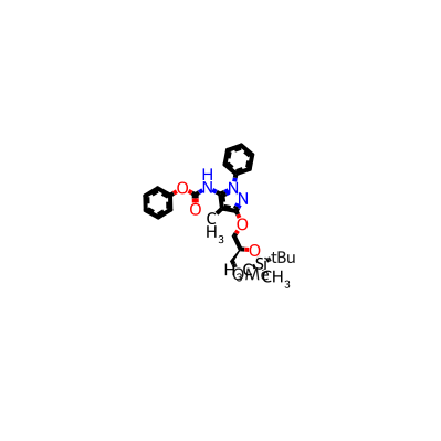 COC[C@@H](COc1nn(-c2ccccc2)c(NC(=O)Oc2ccccc2)c1C)O[Si](C)(C)C(C)(C)C